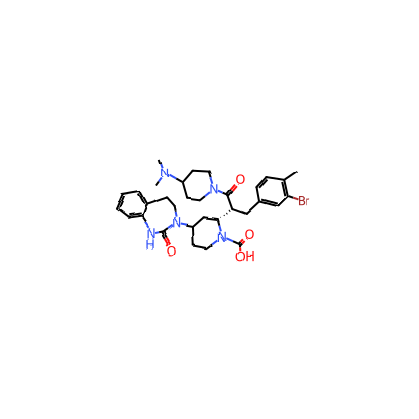 Cc1ccc(CC(C(=O)N2CCC(N(C)C)CC2)[C@H]2CC(N3CCc4ccccc4NC3=O)CCN2C(=O)O)cc1Br